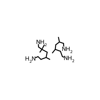 CC(CCN)CC(C)(C)CN.CC(CN)CC(C)CCN